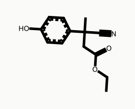 CCOC(=O)CC(C)(C#N)c1ccc(O)cc1